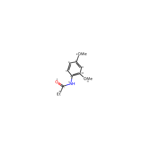 CCC(=O)Nc1ccc(OC)cc1OC